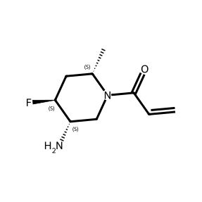 C=CC(=O)N1C[C@H](N)[C@@H](F)C[C@@H]1C